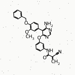 C=C(C#N)C(=O)Nc1cccc(Oc2ncnc(N)c2-c2ccc(OCc3ccccc3)c(OC)c2)c1